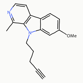 C#CCCCn1c2cc(OC)ccc2c2ccnc(C)c21